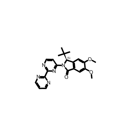 COc1cc2c(cc1OC)[C@H](C(C)(C)C)N(c1ccnc(-c3ncccn3)n1)C2=O